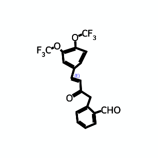 O=Cc1ccccc1CC(=O)/C=C/c1ccc(OC(F)(F)F)c(OC(F)(F)F)c1